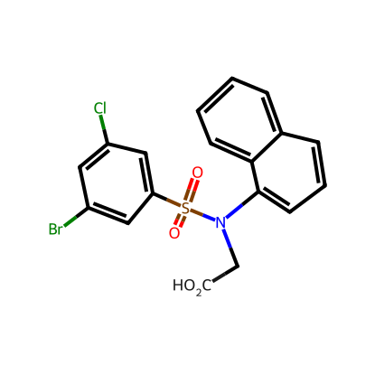 O=C(O)CN(c1cccc2ccccc12)S(=O)(=O)c1cc(Cl)cc(Br)c1